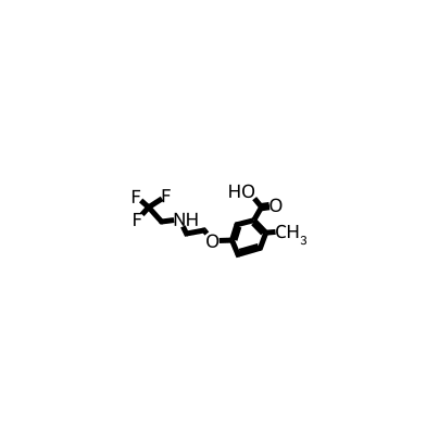 Cc1ccc(OCCNCC(F)(F)F)cc1C(=O)O